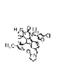 Cc1csc(-c2c3c(=O)n(C)c(=O)n(C)c3c3n2C[C@H](CN2CCCC2=O)S[C@H]3c2ccc(Cl)o2)n1